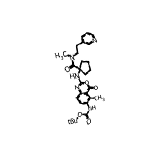 Cc1c(NC(=O)OC(C)(C)C)ccc2nc(NC3(C(=O)N(C)CCc4cccnc4)CCCC3)oc(=O)c12